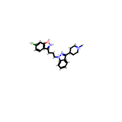 CN1CCC(c2nn(CCCc3noc4cc(F)ccc34)c3ccccc23)CC1